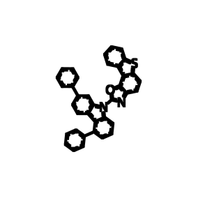 c1ccc(-c2ccc3c4c(-c5ccccc5)cccc4n(-c4nc5ccc6sc7ccccc7c6c5o4)c3c2)cc1